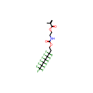 C=C(C)C(=O)OCCNC(=O)OCCC(F)(F)C(F)(F)C(F)(F)C(F)(F)C(F)(F)C(F)(F)F